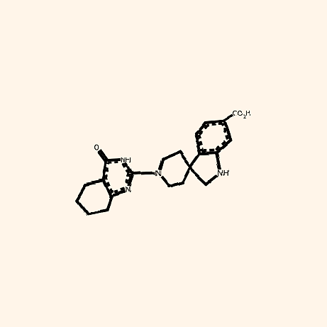 O=C(O)c1ccc2c(c1)NCC21CCN(c2nc3c(c(=O)[nH]2)CCCC3)CC1